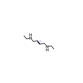 CCNC/C=C/CNCC